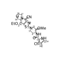 CCOC(=O)c1sc(N2CCC(NC(=O)c3[nH]c(C)c(I)c3Cl)C(OC)C2)nc1C(C#N)N1CCOCC1